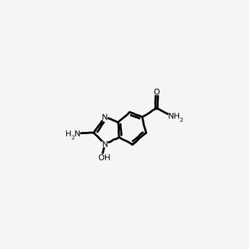 NC(=O)c1ccc2c(c1)nc(N)n2O